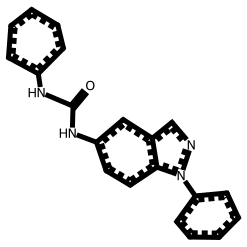 O=C(Nc1ccccc1)Nc1ccc2c(cnn2-c2ccccc2)c1